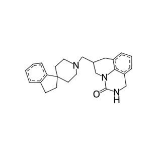 O=C1NCc2cccc3c2N1CC(CN1CCC2(CCc4ccccc42)CC1)C3